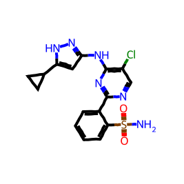 NS(=O)(=O)c1ccccc1-c1ncc(Cl)c(Nc2cc(C3CC3)[nH]n2)n1